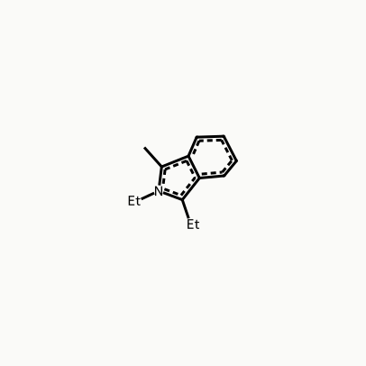 CCc1c2ccccc2c(C)n1CC